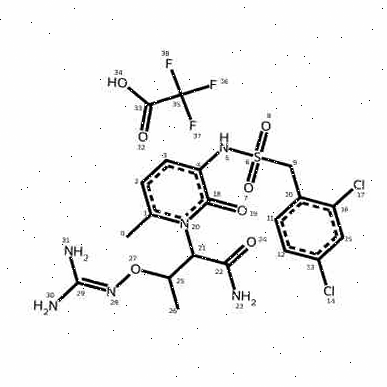 Cc1ccc(NS(=O)(=O)Cc2ccc(Cl)cc2Cl)c(=O)n1C(C(N)=O)C(C)ON=C(N)N.O=C(O)C(F)(F)F